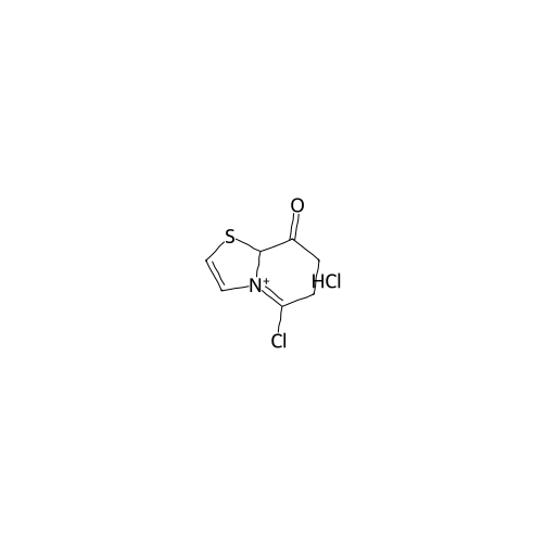 Cl.O=C1CCC(Cl)=[N+]2C=CSC12